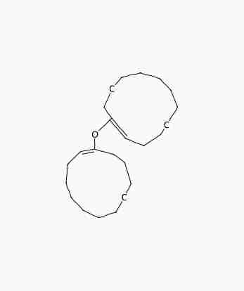 C1=C(OC2=CCCCCCCCCCC2)CCCCCCCCCC1